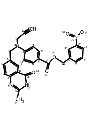 C#CCN(Cc1ccc2nc(C)[nH]c(=O)c2c1)c1ccc(C(=O)OCc2cccc([N+](=O)[O-])c2)cc1